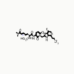 CN(C)C(=O)/C=C/CC[C@H](NC(=O)O)C(=O)Nc1ccc(Cl)n(Cc2nc3c(F)cnc(CCC(F)(F)F)c3[nH]2)c1=O